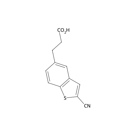 N#Cc1cc2cc(CCC(=O)O)ccc2s1